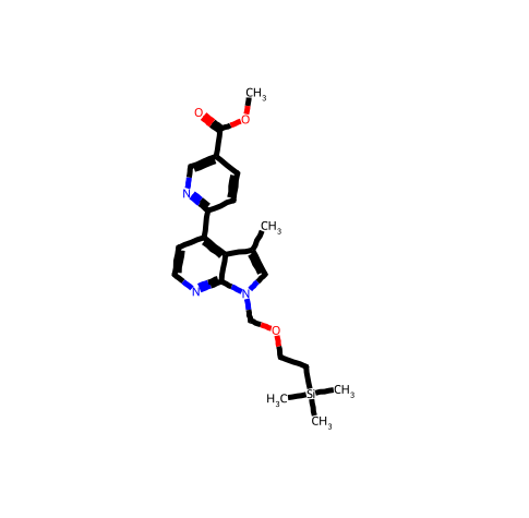 COC(=O)c1ccc(-c2ccnc3c2c(C)cn3COCC[Si](C)(C)C)nc1